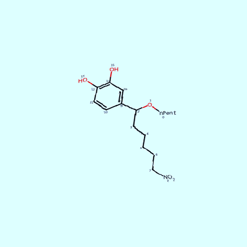 CCCCCOC(CCCCC[N+](=O)[O-])c1ccc(O)c(O)c1